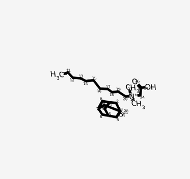 C1C2CC3CC1CC(C2)C3.CCCCCCCCCCC[N+](C)(C)CC(=O)O.[Br-]